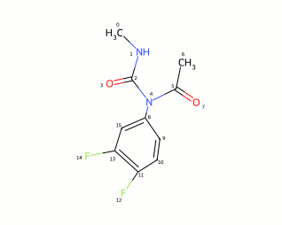 CNC(=O)N(C(C)=O)c1ccc(F)c(F)c1